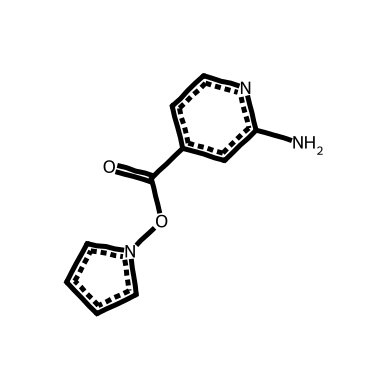 Nc1cc(C(=O)On2cccc2)ccn1